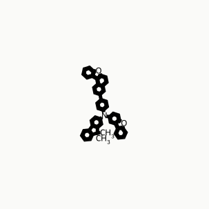 CC1(C)c2ccccc2-c2ccc(N(c3ccc(-c4ccc5c(ccc6oc7ccccc7c65)c4)cc3)c3ccc4oc5ccccc5c4c3)cc21